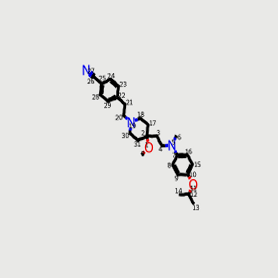 COC1(CCN(C)c2ccc(OC(C)C)cc2)CCN(CCc2ccc(C#N)cc2)CC1